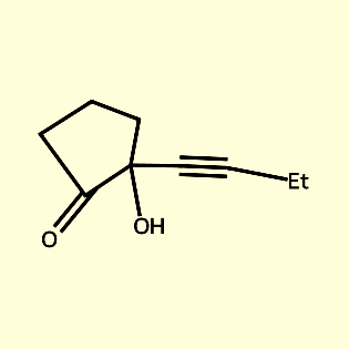 CCC#CC1(O)CCCC1=O